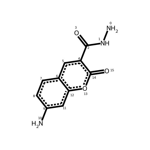 NNC(=O)c1cc2ccc(N)cc2oc1=O